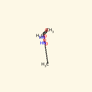 CCC=CCC=CCC=CCC=CCC=CCC=CCCC(=O)NCCOCCNC(=O)[C@@H](C)c1ccc2cc(OC)ccc2c1